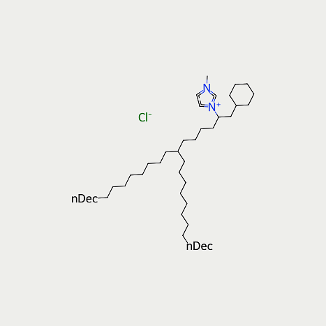 CCCCCCCCCCCCCCCCCCC(CCCCCCCCCCCCCCCCCC)CCCCC(CC1CCCCC1)[n+]1ccn(C)c1.[Cl-]